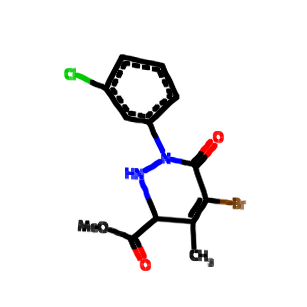 COC(=O)C1NN(c2cccc(Cl)c2)C(=O)C(Br)=C1C